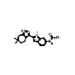 CC[C@H](C)C(=O)N(C)c1ccc2cc(-c3n[nH]c4c3CCC(C)(C)C4)[nH]c2c1